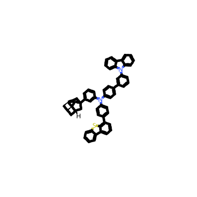 c1cc(-c2ccc(N(c3ccc(-c4cccc5c4sc4ccccc45)cc3)c3cccc(C45C[C@@H]6CC7C[C@@]8(C4)C5[C@]768)c3)cc2)cc(-n2c3ccccc3c3ccccc32)c1